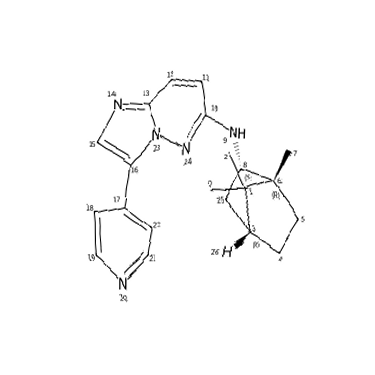 CC1(C)[C@@H]2CC[C@@]1(C)[C@@H](Nc1ccc3ncc(-c4ccncc4)n3n1)C2